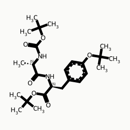 C[C@H](NC(=O)OC(C)(C)C)C(=O)N[C@@H](Cc1ccc(OC(C)(C)C)cc1)C(=O)OC(C)(C)C